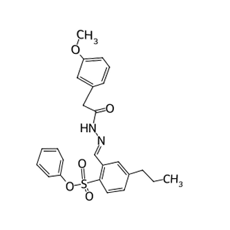 CCCc1ccc(S(=O)(=O)Oc2ccccc2)c(C=NNC(=O)Cc2cccc(OC)c2)c1